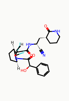 N#C[C@@H](C[C@H]1CCCNC1=O)NC(=O)[C@H]1[C@@H]2CC[C@@H](CC2(F)F)N1C(=O)[C@H](O)c1ccccc1